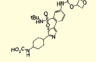 CC(C)(C)NS(=O)(=O)c1cc(NC(=O)OC2COC2)ccc1-c1cnc(C2CCC(NC(=O)O)CC2)s1